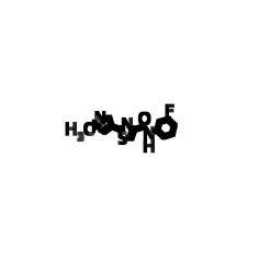 Cn1cc(-c2nc(C(=O)NC3CCCC(F)C3)cs2)cn1